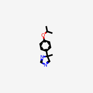 CC(C)Oc1ccc(C2(C)C=NC=N2)cc1